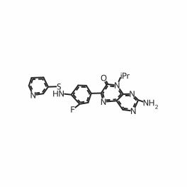 CC(C)n1c(=O)c(-c2ccc(NSc3cccnc3)c(F)c2)nc2cnc(N)nc21